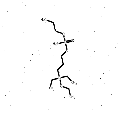 CCCOP(C)(=O)OCCC[Si](CC)(CC)OCC